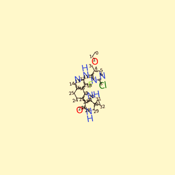 CCOCc1cnc(Cl)nc1Nc1ncc2c(c1F)-c1[nH]c3c(c1CC2)C(=O)NCC31CC1